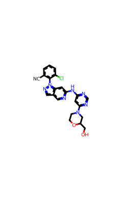 N#Cc1cccc(Cl)c1-n1ncc2cnc(Nc3cc(N4CCOC(CO)C4)ncn3)cc21